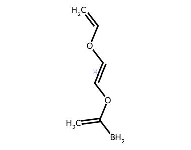 BC(=C)O/C=C/OC=C